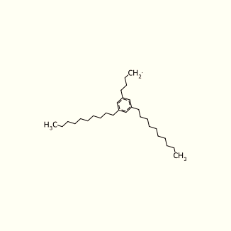 [CH2]CCCc1cc(CCCCCCCCCC)cc(CCCCCCCCCC)c1